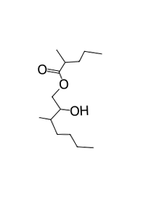 CCCCC(C)C(O)COC(=O)C(C)CCC